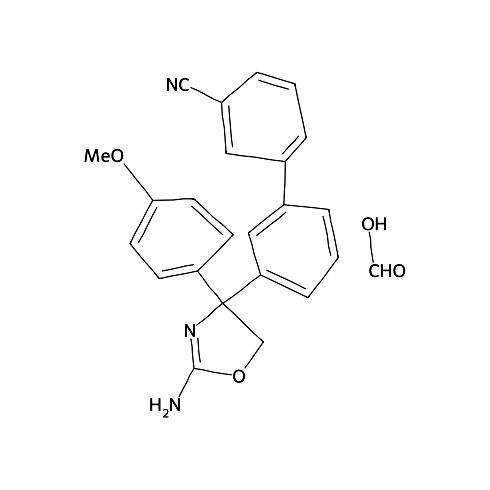 COc1ccc(C2(c3cccc(-c4cccc(C#N)c4)c3)COC(N)=N2)cc1.O=CO